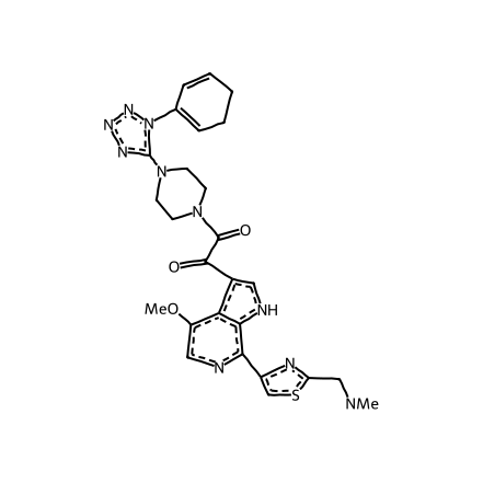 CNCc1nc(-c2ncc(OC)c3c(C(=O)C(=O)N4CCN(c5nnnn5C5=CCCC=C5)CC4)c[nH]c23)cs1